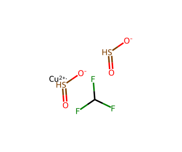 FC(F)F.O=[SH][O-].O=[SH][O-].[Cu+2]